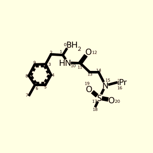 BC(Cc1ccc(C)cc1)NC(=O)CCN(C(C)C)S(C)(=O)=O